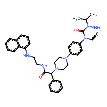 C=CN(C(=O)N(N)C(C)C)c1ccc(N2CCN(C(C(=O)NCCNc3cccc4ccccc34)c3ccccc3)CC2)cc1